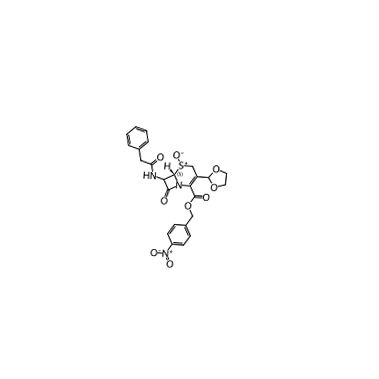 O=C(Cc1ccccc1)NC1C(=O)N2C(C(=O)OCc3ccc([N+](=O)[O-])cc3)=C(C3OCCO3)C[S+]([O-])[C@@H]12